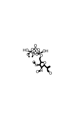 C=C(C=O)C1OC(COP(=O)(O)OP(=O)(O)O[PH](O)(OC)OC)C(N=O)C1N=O